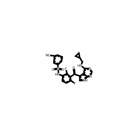 N#Cc1cccc(S(=O)(=O)Nc2ccc(F)c(C(=O)c3c[nH]c4ncnc(NCC5CC5)c34)c2F)c1